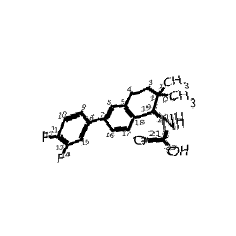 CC1(C)CCc2cc(-c3ccc(F)c(F)c3)ccc2C1NC(=O)O